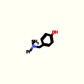 CC(C)N([SiH3])Cc1ccc(O)cc1